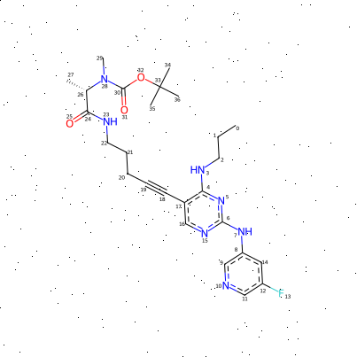 CCCNc1nc(Nc2cncc(F)c2)ncc1C#CCCCNC(=O)[C@H](C)N(C)C(=O)OC(C)(C)C